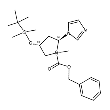 CC(C)(C)[Si](C)(C)O[C@@H]1C[C@@H](n2ccnc2)[N+](C)(C(=O)OCc2ccccc2)C1